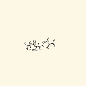 C=C(C)C(=O)C(C)OCC(C)(C)OC(=O)C(C)(CC(C)(C)C)PC